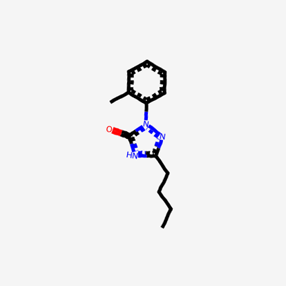 CCCCc1nn(-c2ccccc2C)c(=O)[nH]1